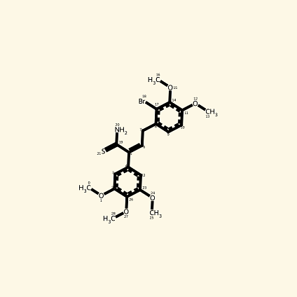 COc1cc(C(=CCc2ccc(OC)c(OC)c2Br)C(N)=S)cc(OC)c1OC